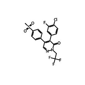 CS(=O)(=O)c1ccc(-c2cnn(CC(F)(F)F)c(=O)c2-c2ccc(Cl)c(F)c2)cc1